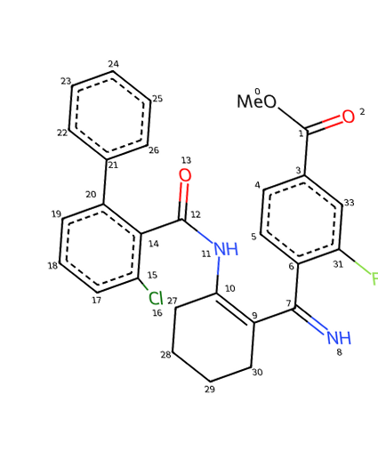 COC(=O)c1ccc(C(=N)C2=C(NC(=O)c3c(Cl)cccc3-c3ccccc3)CCCC2)c(F)c1